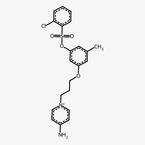 Cc1cc(OCCC[n+]2ccc(N)cc2)cc(OS(=O)(=O)c2ccccc2Cl)c1